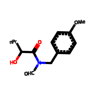 CCCC(O)C(=O)N(C=O)Cc1ccc(OC)cc1